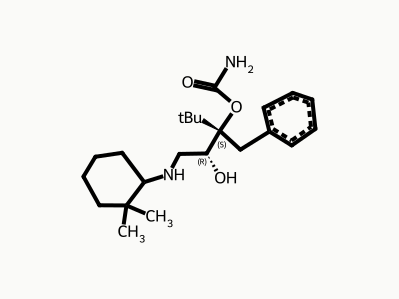 CC1(C)CCCCC1NC[C@@H](O)[C@@](Cc1ccccc1)(OC(N)=O)C(C)(C)C